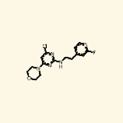 Fc1cc(CCNc2nc(Cl)cc(N3CCOCC3)n2)ccn1